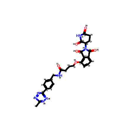 Cc1nnc(-c2ccc(CNC(=O)CCCOc3cccc4c3C(=O)N(C3CCC(=O)NC3=O)C4=O)cc2)nn1